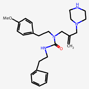 C=C(CN1CCNCC1)CN(CCc1ccc(OC)cc1)C(=O)NCCc1ccccc1